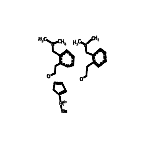 CN(C)Cc1ccccc1CC[O-].CN(C)Cc1ccccc1CC[O-].C[C](C)(C)[Hf+2][C]1=CC=CC1